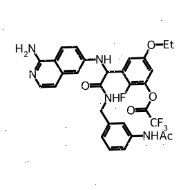 CCOc1cc(OC(=O)C(F)(F)F)c(F)c(C(Nc2ccc3c(N)nccc3c2)C(=O)NCc2cccc(NC(C)=O)c2)c1